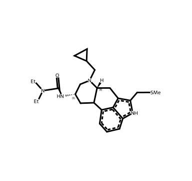 CCN(CC)C(=O)N[C@H]1CC2c3cccc4[nH]c(CSC)c(c34)C[C@H]2N(CC2CC2)C1